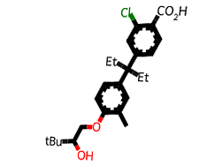 CCC(CC)(c1ccc(OCC(O)C(C)(C)C)c(C)c1)c1ccc(C(=O)O)c(Cl)c1